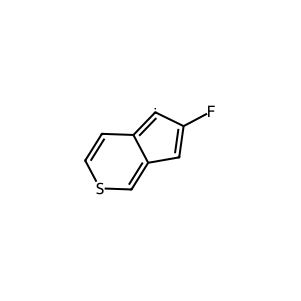 Fc1[c]c2ccscc-2c1